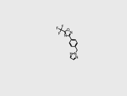 FC(F)(F)c1nc(-c2ccc(Cn3nccn3)cc2)no1